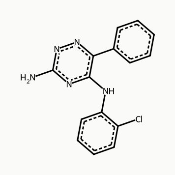 Nc1nnc(-c2ccccc2)c(Nc2ccccc2Cl)n1